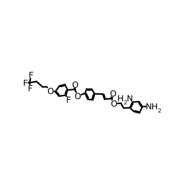 Nc1ccc(CCOC(=O)/C=C/c2ccc(OC(=O)c3ccc(OCCCC(F)(F)F)cc3F)cc2)c(N)c1